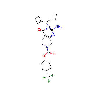 Nc1nc2c(c(=O)n1C(C1CCC1)C1CCC1)CCN(C(=O)O[C@H]1CC[C@@H](C(F)(F)F)CC1)C2